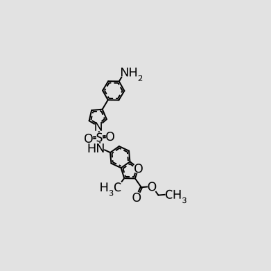 CCOC(=O)c1oc2ccc(NS(=O)(=O)n3ccc(-c4ccc(N)cc4)c3)cc2c1C